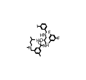 Cc1cc(CN(C)CCC(C)C)cc(C(=O)N[C@@H](Cc2cc(F)cc(F)c2)[C@@H](O)CNCc2cccc(I)c2)c1